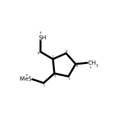 CSCC1CC(C)CC1CS